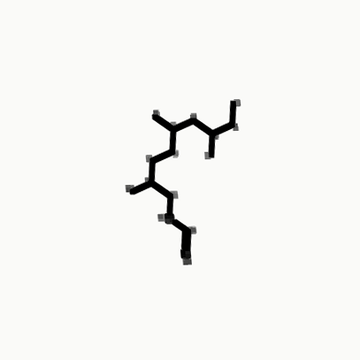 CCC(C)CC(C)CCC(C)COC=O